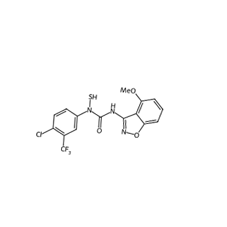 COc1cccc2onc(NC(=O)N(S)c3ccc(Cl)c(C(F)(F)F)c3)c12